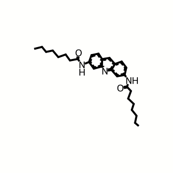 CCCCCCCC(=O)Nc1ccc2cc3ccc(NC(=O)CCCCCCC)cc3nc2c1